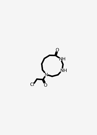 O=C1CCCCN(C(=O)CCl)CCNCN1